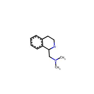 CN(C)CC1[N]CCc2ccccc21